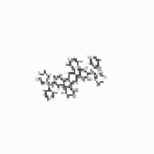 c1ccc(N(c2ccccc2)c2cc3c4ccccc4c4cc5c6cnc(N(c7ccccc7)c7ccccc7)cc6c6ccccc6c5cc4c3cn2)cc1